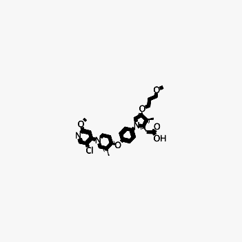 COCCCO[C@H]1CN(c2ccc(O[C@@H]3CCN(c4cc(OC)ncc4Cl)C[C@H]3C)cc2)[C@@H](CC(=O)O)[C@@H]1C